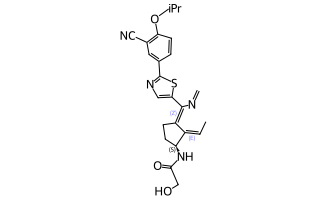 C=N/C(=C1/CC[C@H](NC(=O)CO)/C1=C/C)c1cnc(-c2ccc(OC(C)C)c(C#N)c2)s1